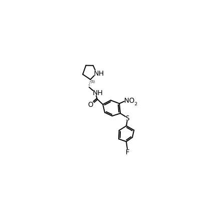 O=C(NC[C@@H]1CCCN1)c1ccc(Sc2ccc(F)cc2)c([N+](=O)[O-])c1